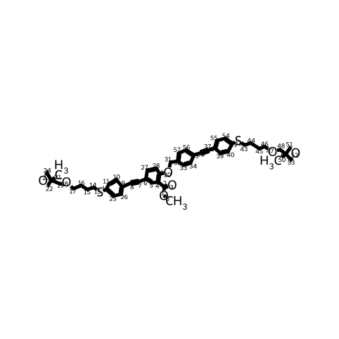 COC(=O)c1cc(C#Cc2ccc(SCCCCOCC3(C)COC3)cc2)ccc1OCc1ccc(C#Cc2ccc(SCCCCOCC3(C)COC3)cc2)cc1